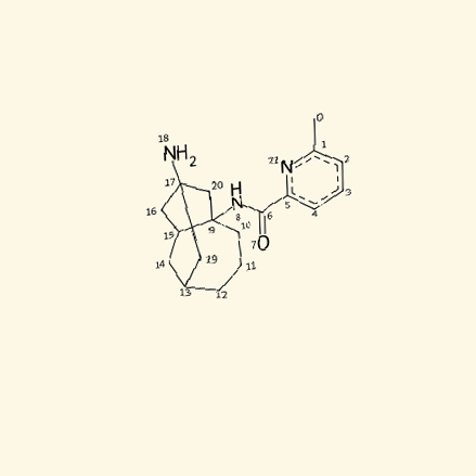 Cc1cccc(C(=O)NC23CCCC4CC2CC(N)(C4)C3)n1